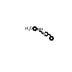 Cc1ccc(NCCCN2CCC(Cc3ccccc3)CC2)cc1